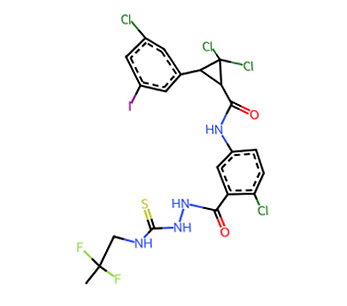 CC(F)(F)CNC(=S)NNC(=O)c1cc(NC(=O)C2C(c3cc(Cl)cc(I)c3)C2(Cl)Cl)ccc1Cl